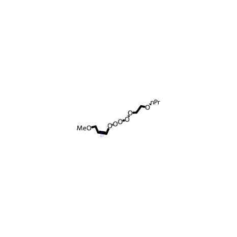 CCCOCCOOOOO/C=C\COC